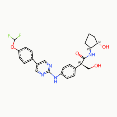 O=C(N[C@H]1CCC[C@@H]1O)[C@@H](CO)c1ccc(Nc2ncc(-c3ccc(OC(F)F)cc3)cn2)cc1